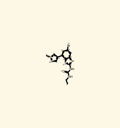 CCNC(=O)Nc1nc2cc(Br)cc(-c3cnn(C)c3)c2s1